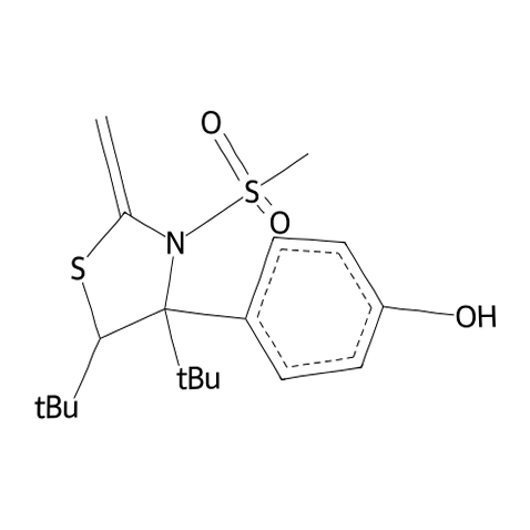 C=C1SC(C(C)(C)C)C(c2ccc(O)cc2)(C(C)(C)C)N1S(C)(=O)=O